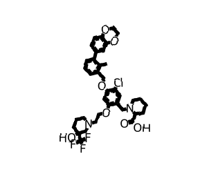 Cc1c(COc2cc(OCCN3CCCC(O)(C(F)(F)F)C3)c(CN3CCCCC3C(=O)O)cc2Cl)cccc1-c1ccc2c(c1)OCCO2